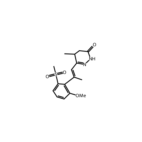 COc1cccc(S(C)(=O)=O)c1C(C)=CC1=NNC(=O)CC1C